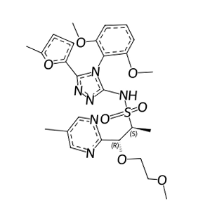 COCCO[C@H](c1ncc(C)cn1)[C@H](C)S(=O)(=O)Nc1nnc(-c2ccc(C)o2)n1-c1c(OC)cccc1OC